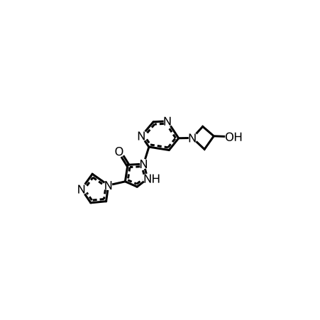 O=c1c(-n2ccnc2)c[nH]n1-c1cc(N2CC(O)C2)ncn1